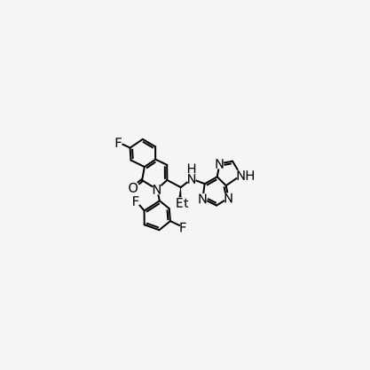 CC[C@H](Nc1ncnc2[nH]cnc12)c1cc2ccc(F)cc2c(=O)n1-c1cc(F)ccc1F